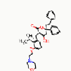 CC(C)c1c(CC2=C(O)CC(CCc3ccccc3)(c3ccccc3)OC2=O)cccc1OCCN1CCOCC1